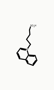 O=S(=O)(O)CCCC[n+]1cccc2ccccc21